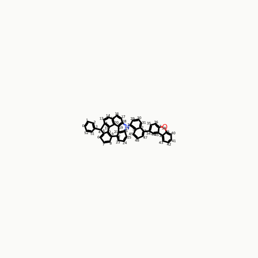 c1ccc(C2c3cccc4c3-c3c2ccc2ccc5c(c32)c2c-4cccc2n5-c2cccc3c(-c4ccc5oc6ccccc6c5c4)cccc23)cc1